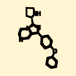 c1ccc(Oc2ccc(-c3nc([C@H]4CCCN4)n4ccncc34)cc2)cc1